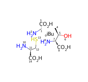 CC[C@H](C)[C@H](N)C(=O)O.C[C@@H](O)[C@H](N)C(=O)O.N[C@@H](CS)C(=O)O